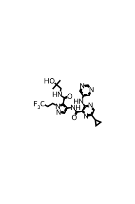 CC(C)(O)CNC(=O)c1c(NC(=O)c2nc(C3CC3)cnc2Nc2cncnc2)cnn1CCC(F)(F)F